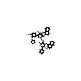 CC(=O)c1c(-c2ccccc2)nn(C)c(=O)c1Nc1cccc2ccccc12.CCn1nc(-c2ccc(OC)c(OC3CCCC3)c2)c(C(C)=O)c(Nc2cccc3ccccc23)c1=O